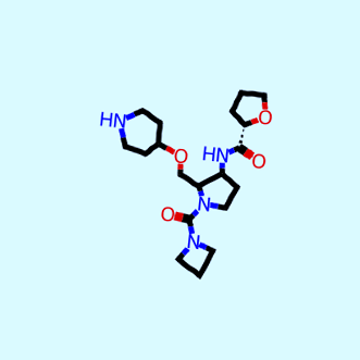 O=C(NC1CCN(C(=O)N2CCC2)C1COC1CCNCC1)[C@@H]1CCCO1